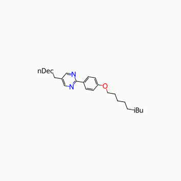 CCCCCCCCCCCc1cnc(-c2ccc(OCCCCCC(C)CC)cc2)nc1